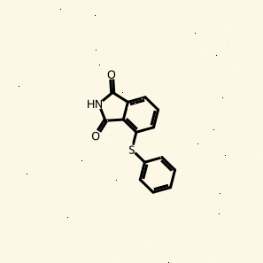 O=C1NC(=O)c2c(Sc3ccccc3)cccc21